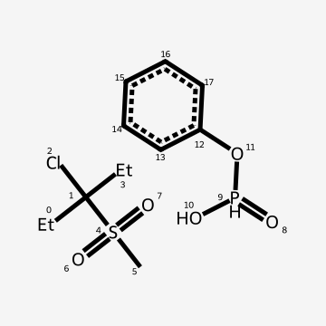 CCC(Cl)(CC)S(C)(=O)=O.O=[PH](O)Oc1ccccc1